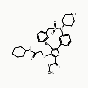 COC(=O)c1sc(-c2cccc(N(C3CCNCC3)S(=O)(=O)Cc3ccccc3)c2)c(Br)c1OCC(=O)NC1CCCCC1